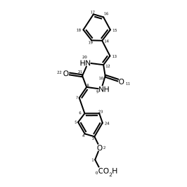 O=C(O)COc1ccc(C=c2[nH]c(=O)c(=Cc3ccccc3)[nH]c2=O)cc1